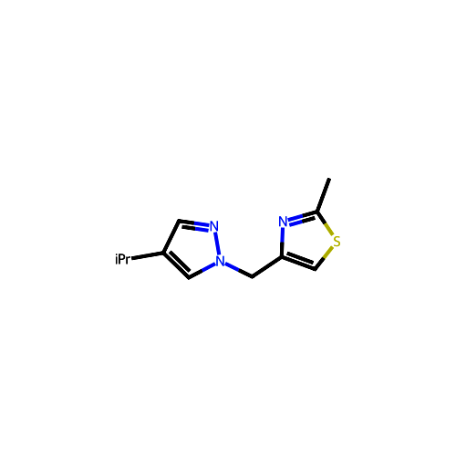 Cc1nc(Cn2cc(C(C)C)cn2)cs1